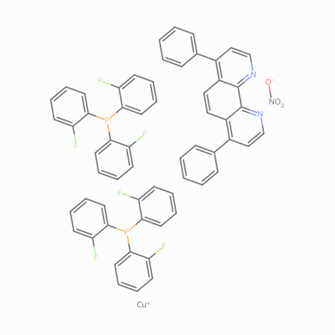 Fc1ccccc1P(c1ccccc1F)c1ccccc1F.Fc1ccccc1P(c1ccccc1F)c1ccccc1F.O=[N+]([O-])[O-].[Cu+].c1ccc(-c2ccnc3c2ccc2c(-c4ccccc4)ccnc23)cc1